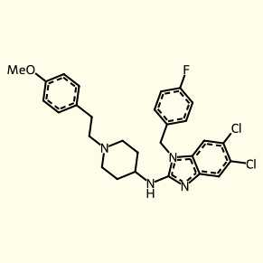 COc1ccc(CCN2CCC(Nc3nc4cc(Cl)c(Cl)cc4n3Cc3ccc(F)cc3)CC2)cc1